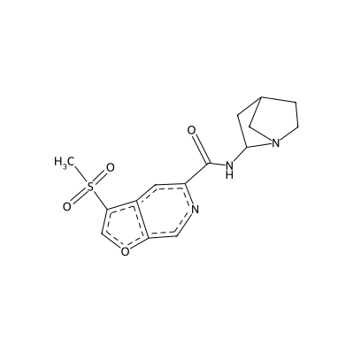 CS(=O)(=O)c1coc2cnc(C(=O)NC3CC4CCN3C4)cc12